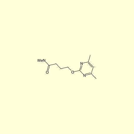 CNC(=O)CCCOc1nc(C)[c]c(C)n1